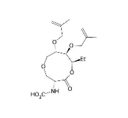 C=C(C)CO[C@@H]1[C@@H](OCC(=C)C)COC[C@@H](NC(=O)O)C(=O)O[C@@H]1CC